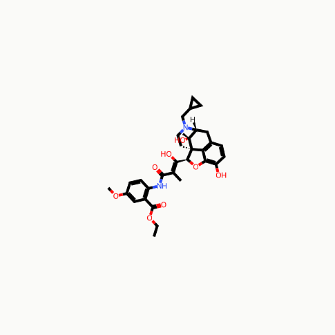 CCOC(=O)c1cc(OC)ccc1NC(=O)/C(C)=C(\O)[C@@H]1Oc2c(O)ccc3c2[C@@]12CCN(CC1CC1)[C@H](C3)[C@@]2(C)O